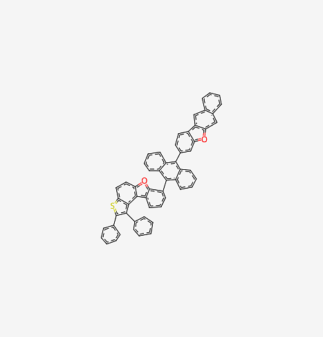 c1ccc(-c2sc3ccc4oc5c(-c6c7ccccc7c(-c7ccc8c(c7)oc7cc9ccccc9cc78)c7ccccc67)cccc5c4c3c2-c2ccccc2)cc1